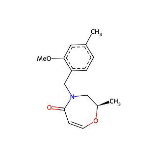 COc1cc(C)ccc1CN1C[C@@H](C)OC=CC1=O